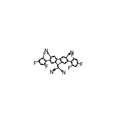 N#CC(C#N)=C1c2cc(-c3c(F)cc(F)cc3F)c(C#N)cc2-c2cc(C#N)c(-c3c(F)cc(F)cc3F)cc21